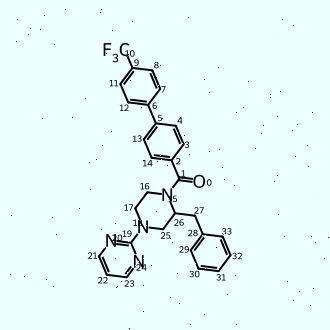 O=C(c1ccc(-c2ccc(C(F)(F)F)cc2)cc1)N1CCN(c2ncccn2)CC1Cc1ccccc1